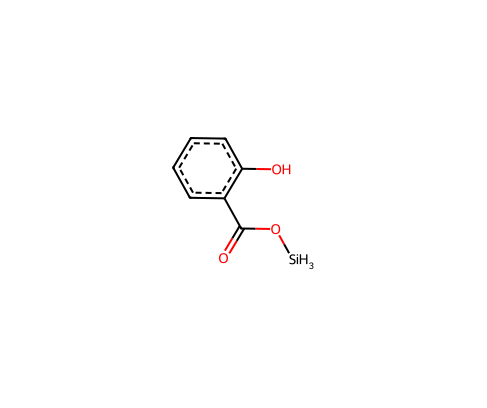 O=C(O[SiH3])c1ccccc1O